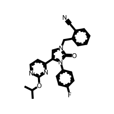 CC(C)Oc1nccc(-c2cn(Cc3ccccc3C#N)c(=O)n2-c2ccc(F)cc2)n1